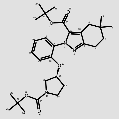 CC1(C)CCc2nn(-c3ccccc3O[C@H]3CCN(C(=O)OC(C)(C)C)C3)c(C(=O)OC(C)(C)C)c2C1